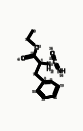 CCOC(=O)C(N)Cc1ccccc1.N=C=O